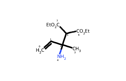 C=CC(C)(N)C(C(=O)OCC)C(=O)OCC